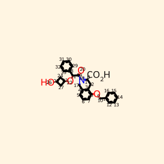 O=C(O)[C@H]1Cc2c(cccc2OCc2ccccc2)CN1C(=O)C(O[C@H]1C[C@@H](O)C1)c1ccccc1